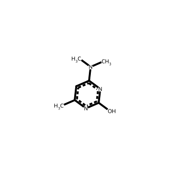 Cc1cc(N(C)C)nc(O)n1